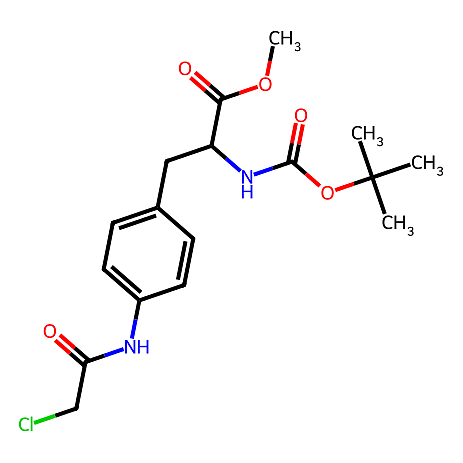 COC(=O)C(Cc1ccc(NC(=O)CCl)cc1)NC(=O)OC(C)(C)C